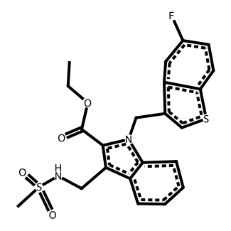 CCOC(=O)c1c(CNS(C)(=O)=O)c2ccccc2n1Cc1csc2ccc(F)cc12